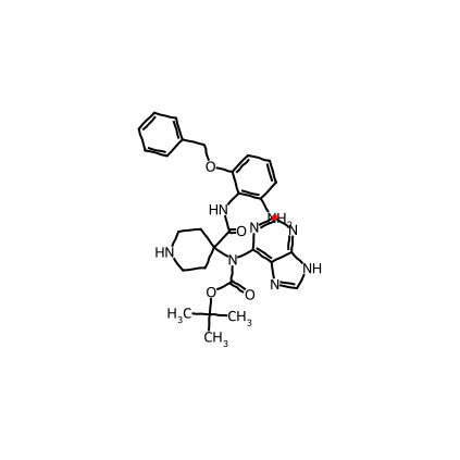 CC(C)(C)OC(=O)N(c1ncnc2[nH]cnc12)C1(C(=O)Nc2c(N)cccc2OCc2ccccc2)CCNCC1